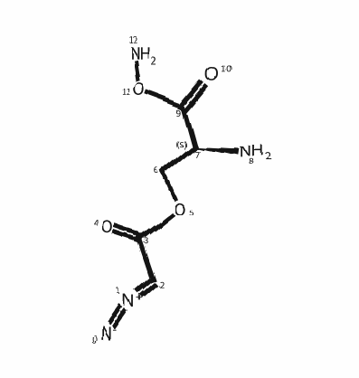 [N-]=[N+]=CC(=O)OC[C@H](N)C(=O)ON